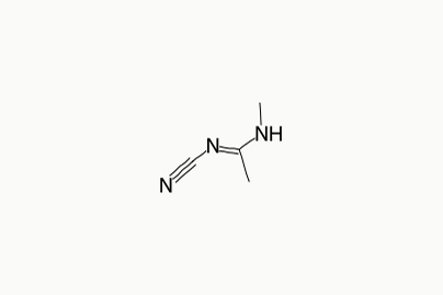 CNC(C)=NC#N